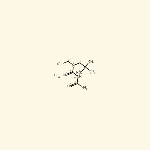 CCN(CC(C)(C)C)C(=N)NC(=N)N.Cl